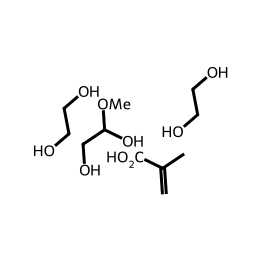 C=C(C)C(=O)O.COC(O)CO.OCCO.OCCO